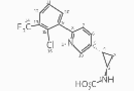 O=C(O)N[C@@H]1C[C@H]1c1ccc(-c2cccc(C(F)(F)F)c2Cl)nc1